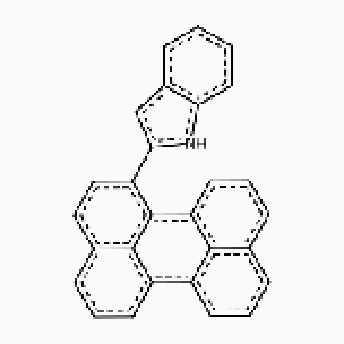 c1ccc2[nH]c(-c3ccc4cccc5c6cccc7cccc(c3c45)c76)cc2c1